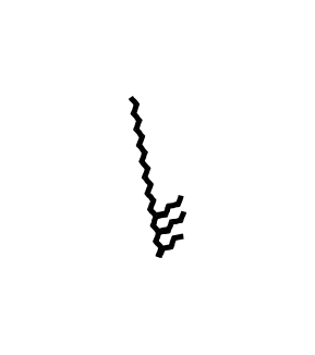 C=C(CCC)CC(=CCCC)CC(=CCCC)CCCCCCCCCCCCCCC